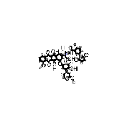 COc1cccc2c1C(=O)c1c(O)c3c(c(O)c1C2=O)C[C@@](O)(/C(CO)=N/NC(=O)c1cc(N2C(=O)C=CC2=O)ccc1F)C[C@@H]3O[C@H]1CC(N2CCO[C@H](OC)C2)[C@H](O)[C@H](C)O1